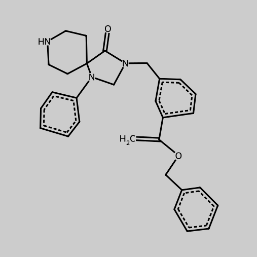 C=C(OCc1ccccc1)c1cccc(CN2CN(c3ccccc3)C3(CCNCC3)C2=O)c1